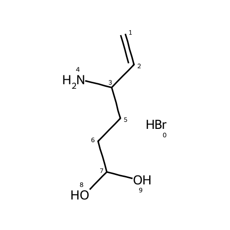 Br.C=CC(N)CCC(O)O